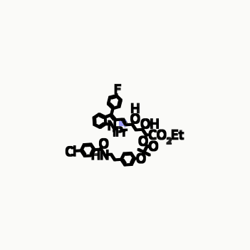 CCOC(=O)C(OC(=O)C(C)(C)Oc1ccc(CCNC(=O)c2ccc(Cl)cc2)cc1)C(O)CC(O)/C=C/c1c(-c2ccc(F)cc2)c2ccccc2n1C(C)C